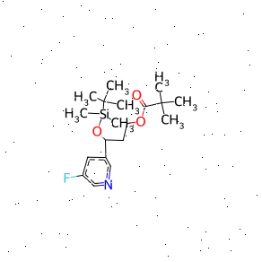 CC(C)(C)C(=O)OCCC(O[Si](C)(C)C(C)(C)C)c1cncc(F)c1